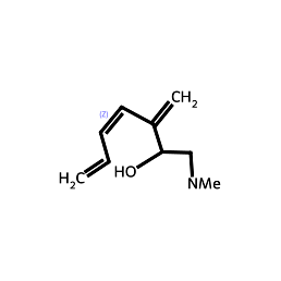 C=C/C=C\C(=C)C(O)CNC